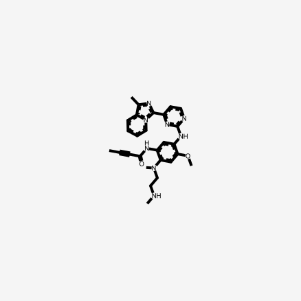 CC#CC(=O)Nc1cc(Nc2nccc(-c3nc(C)c4ccccn34)n2)c(OC)cc1N(C)CCNC